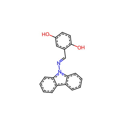 Oc1ccc(O)c(/C=N/n2c3ccccc3c3ccccc32)c1